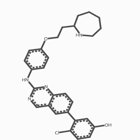 Oc1ccc(Cl)c(-c2ccc3nc(Nc4ccc(OCCC5CCCCCN5)cc4)ncc3c2)c1